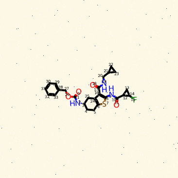 O=C(N[C@H]1CCc2sc(NC(=O)C3CC3F)c(C(=O)NCC3CC3)c2C1)OCc1ccccc1